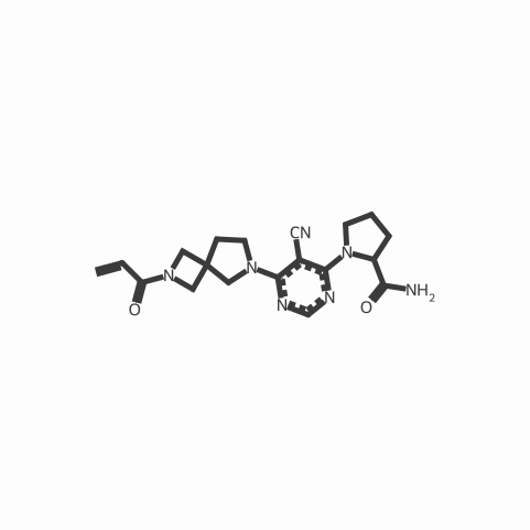 C=CC(=O)N1CC2(CCN(c3ncnc(N4CCCC4C(N)=O)c3C#N)C2)C1